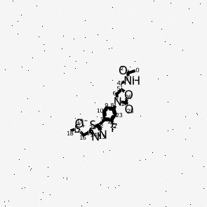 CC(=O)NC[C@H]1CN(c2ccc(-c3nnc(C[S+](C)[O-])s3)c(F)c2)C(=O)O1